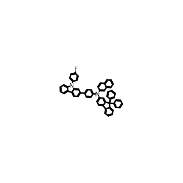 Fc1ccc(-n2c3ccccc3c3ccc(-c4ccc(N(c5ccc6c(c5)C(c5ccccc5)(c5ccccc5)c5ccccc5-6)c5ccc6ccccc6c5)cc4)cc32)cc1